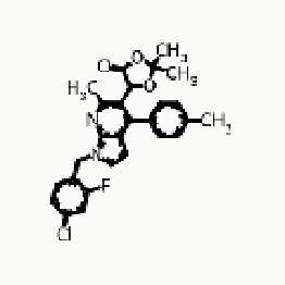 Cc1ccc(-c2c(C3OC(C)(C)OC3=O)c(C)nc3c2ccn3Cc2ccc(Cl)cc2F)cc1